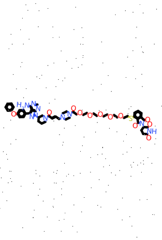 Nc1ncnc2c1c(-c1ccc(Oc3ccccc3)cc1)nn2[C@@H]1CCCN(C(=O)/C=C/CN2CCN(C(=O)COCCOCCOCCOCCOCCSc3cccc4c3C(=O)N(C3CCC(=O)NC3=O)C4=O)CC2)C1